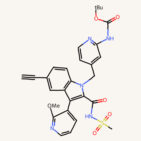 C#Cc1ccc2c(c1)c(-c1cccnc1OC)c(C(=O)NS(C)(=O)=O)n2Cc1ccnc(NC(=O)OC(C)(C)C)c1